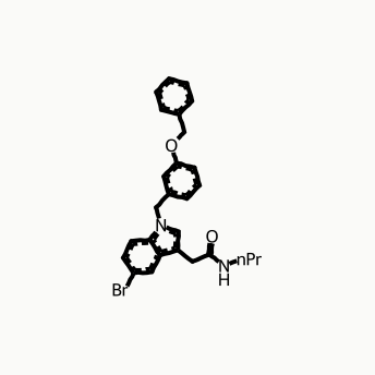 CCCNC(=O)Cc1cn(Cc2cccc(OCc3ccccc3)c2)c2ccc(Br)cc12